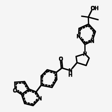 CC(C)(O)c1cnc(N2CCC(NC(=O)c3ccc(-c4nccc5occc45)cc3)C2)nc1